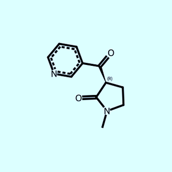 CN1CC[C@H](C(=O)c2cccnc2)C1=O